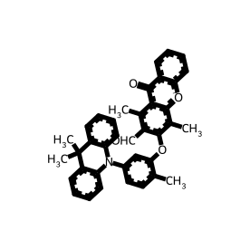 Cc1ccc(N2c3ccccc3C(C)(C)c3ccccc32)cc1Oc1c(C=O)c(C)c2c(=O)c3ccccc3oc2c1C